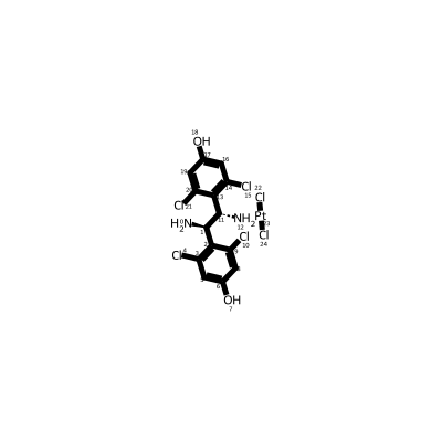 N[C@H](c1c(Cl)cc(O)cc1Cl)[C@@H](N)c1c(Cl)cc(O)cc1Cl.[Cl][Pt][Cl]